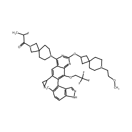 COCCN1CCC2(CC1)CC(Oc1nc(N3CCC4(CC3)CN(C(=O)C(C)F)C4)c3cc(C4CC4)c(-c4c(C)ccc5[nH]ncc45)c(OCC(F)(F)F)c3n1)C2